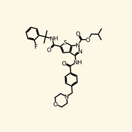 CC(C)COC(=O)n1nc(NC(=O)c2ccc(CN3CCOCC3)cc2)c2cc(C(=O)NC(C)(C)c3ccccc3F)sc21